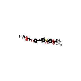 C=COC(=O)CCCOc1ccc(C#Cc2ccc(SC(=O)c3ccc(OC(=O)C(=C)C)cc3)cc2)cc1